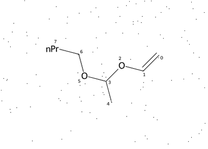 C=COC(C)OCCCC